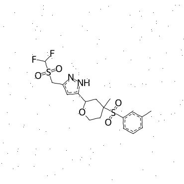 Cc1cccc(S(=O)(=O)C2(C)CCOC(c3cc(CS(=O)(=O)C(F)F)n[nH]3)C2)c1